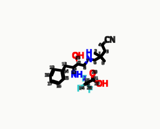 CC(C)(CCC#N)CNC[C@@H](O)[C@@H](N)Cc1ccccc1.O=C(O)C(F)(F)F